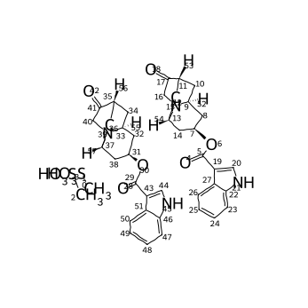 CS(=O)(=O)O.CS(=O)(=O)O.O=C(O[C@@H]1C[C@@H]2C[C@@H]3C[C@H](C1)N2CC3=O)c1c[nH]c2ccccc12.O=C(O[C@@H]1C[C@@H]2C[C@@H]3C[C@H](C1)N2CC3=O)c1c[nH]c2ccccc12